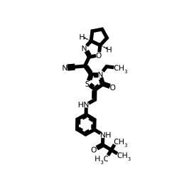 CCn1c(=C(C#N)C2=N[C@H]3CCC[C@H]3O2)sc(=CNc2cccc(NC(=O)C(C)(C)C)c2)c1=O